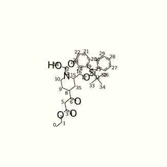 CCOC(=O)CC(=O)C1CCN(C(=O)O)C(CO[Si](c2ccccc2)(c2ccccc2)C(C)(C)C)C1